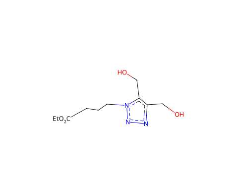 CCOC(=O)CCCn1nnc(CO)c1CO